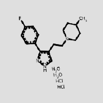 CC1CCN(CCc2c[nH]nc2-c2ccc(F)cc2)CC1.Cl.Cl.O.O